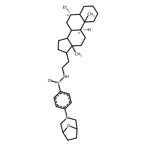 CC[C@H]1CC2C3CCC(CCN[S+]([O-])c4ccc(N5CC6CCC(C5)O6)cc4)C3(C)CC[C@@H]2C2(C)CCCCC12